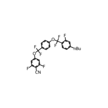 CCCCc1ccc(C(F)(F)Oc2ccc(C(F)(F)Oc3cc(F)c(C#N)c(F)c3)cc2)c(F)c1